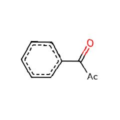 [CH2]C(=O)C(=O)c1ccccc1